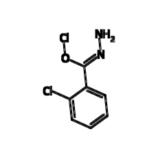 NN=C(OCl)c1ccccc1Cl